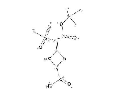 CC(C)(C)OC(=O)C(=C1SC(C(=O)O)S1)S(C)(=O)=O